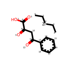 C[CH2][Zr][CH2]C.O=C(O)C(=O)CC(=O)c1ccccc1